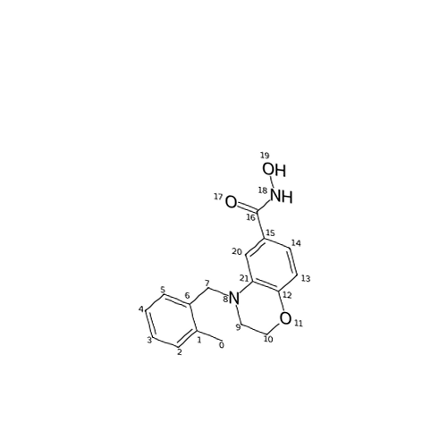 Cc1ccccc1CN1CCOc2ccc(C(=O)NO)cc21